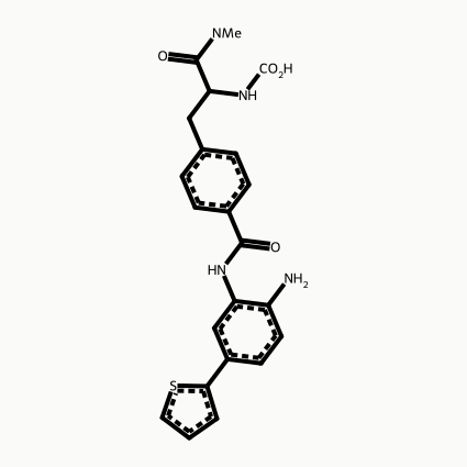 CNC(=O)C(Cc1ccc(C(=O)Nc2cc(-c3cccs3)ccc2N)cc1)NC(=O)O